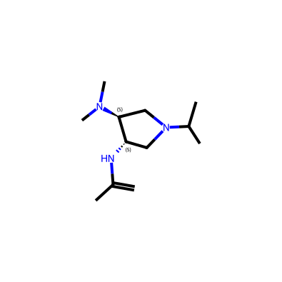 C=C(C)N[C@H]1CN(C(C)C)C[C@@H]1N(C)C